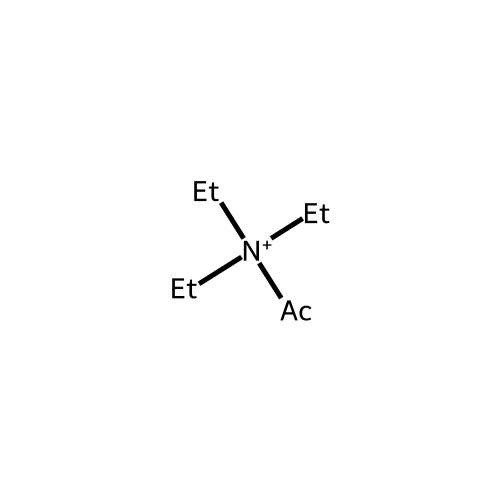 CC[N+](CC)(CC)C(C)=O